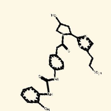 Cc1ccccc1NC(=O)Nc1ccc(CC(=O)N2CC(O)CC2c2ncc(CCC(=O)O)s2)cc1